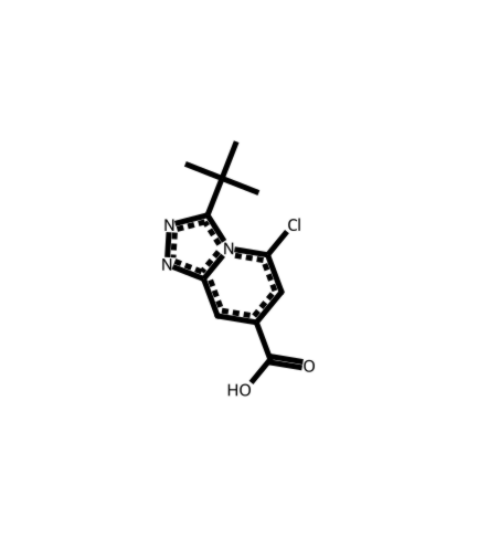 CC(C)(C)c1nnc2cc(C(=O)O)cc(Cl)n12